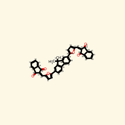 CC1(C)c2cc(-c3ccc(C=C4C(=O)c5ccccc5C4=O)o3)ccc2-c2ccc(-c3ccc(C=C4C(=O)c5ccccc5C4=O)o3)cc21